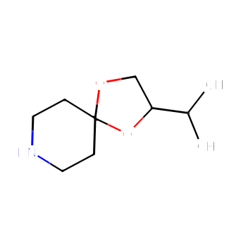 CC(C)C1COC2(CCNCC2)O1